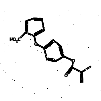 C=C(C)C(=O)Oc1ccc(Oc2ccccc2C(=O)O)cc1